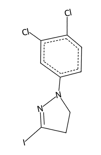 Clc1ccc(N2CCC(I)=N2)cc1Cl